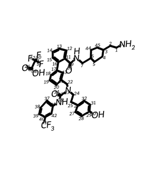 NCCC1CCC(CNC(=O)c2ccccc2-c2cccc(CN(CCc3ccc(O)cc3)C(=O)Nc3cccc(C(F)(F)F)c3)c2)CC1.O=C(O)C(F)(F)F